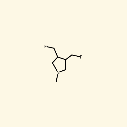 CN1CC(CF)C(CF)C1